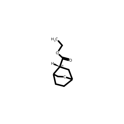 CCOC(=O)[C@@H]1CC2CCC1CC2